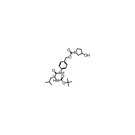 CC(C)C[C@H](NC(=O)OC(C)(C)C)C(=O)Nc1ccc(COC(=O)N2CCC(O)C2)cc1